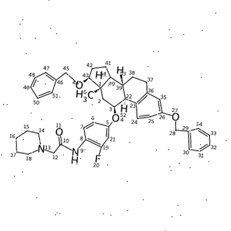 C[C@]12C[C@H](Oc3ccc(NC(=O)CN4CCCCC4)c(F)c3)[C@@H]3c4ccc(OCc5ccccc5)cc4CC[C@H]3[C@@H]1CC[C@@H]2OCc1ccccc1